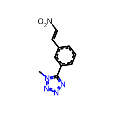 Cn1nnnc1-c1cccc(C=C[N+](=O)[O-])c1